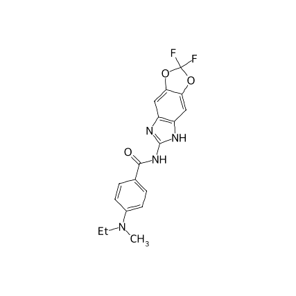 CCN(C)c1ccc(C(=O)Nc2nc3cc4c(cc3[nH]2)OC(F)(F)O4)cc1